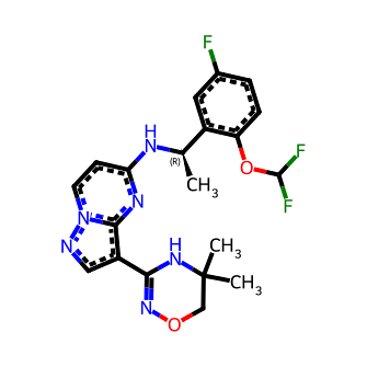 C[C@@H](Nc1ccn2ncc(C3=NOCC(C)(C)N3)c2n1)c1cc(F)ccc1OC(F)F